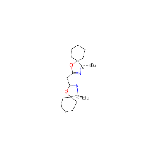 CC(C)(C)[C@@H]1N=C(CC2=N[C@@H](C(C)(C)C)C3(CCCCC3)O2)OC12CCCCC2